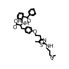 Cc1sc(NCCCN(C)C)nc1CCOc1ccc(CC(Nc2ccccc2C(=O)c2ccccc2)C(=O)O)cc1